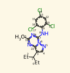 CCC(CC)c1cnn2c(Nc3c(Cl)cc(Cl)cc3Cl)nc(C)nc12